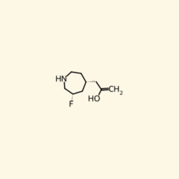 C=C(O)C[C@H]1CCNC[C@@H](F)C1